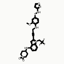 COc1cc(SNc2ccon2)ccc1NCC#Cc1cc2c(NC3CCS(=O)(=O)CC3)cccc2n1CC(F)(F)F